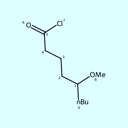 CCCCC(CCCC(=O)Cl)OC